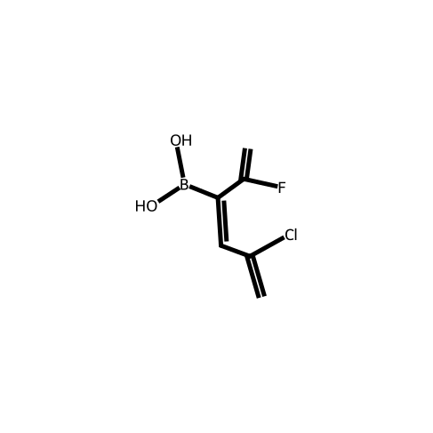 C=C(Cl)/C=C(/B(O)O)C(=C)F